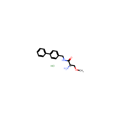 COC[C@@H](N)C(=O)NCc1ccc(-c2ccccc2)cc1.Cl